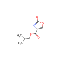 CC(C)COC(=O)c1coc([O])n1